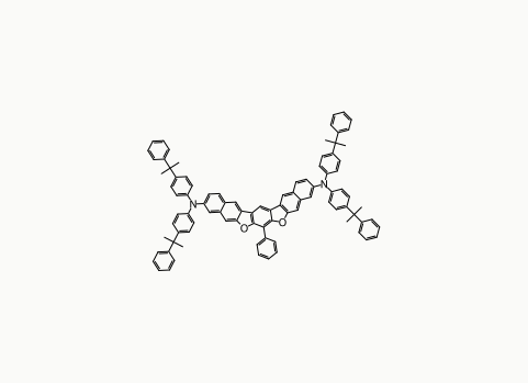 CC(C)(c1ccccc1)c1ccc(N(c2ccc(C(C)(C)c3ccccc3)cc2)c2ccc3cc4c(cc3c2)oc2c(-c3ccccc3)c3oc5cc6cc(N(c7ccc(C(C)(C)c8ccccc8)cc7)c7ccc(C(C)(C)c8ccccc8)cc7)ccc6cc5c3cc24)cc1